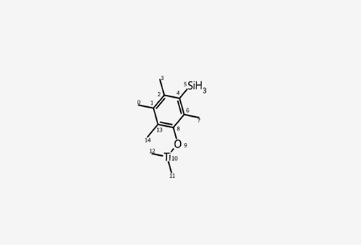 Cc1c(C)c([SiH3])c(C)c([O][Ti]([CH3])[CH3])c1C